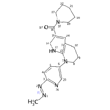 C/N=N/c1ccc(N2CCCC3=C2NCC(C(=O)N2CCCCC2)=C3)cn1